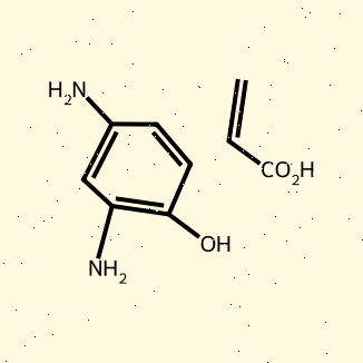 C=CC(=O)O.Nc1ccc(O)c(N)c1